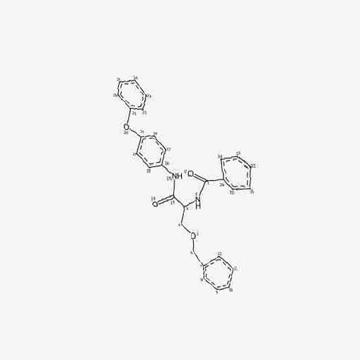 O=C(NC(COCc1ccccc1)C(=O)Nc1ccc(Oc2ccccc2)cc1)c1ccccc1